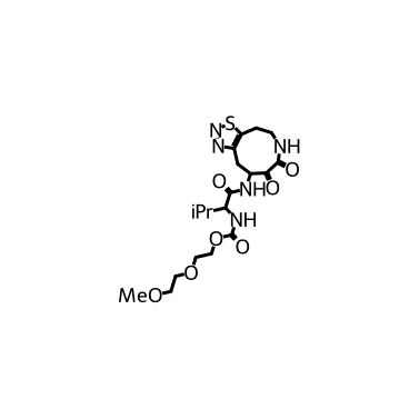 COCCOCCOC(=O)NC(C(=O)NC1Cc2nnsc2CCNC(=O)C1=O)C(C)C